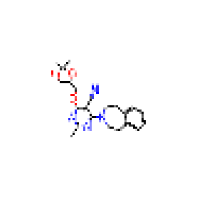 Cc1nc(OCC2COC(C)(C)O2)c(C#N)c(N2CCc3ccccc3CC2)n1